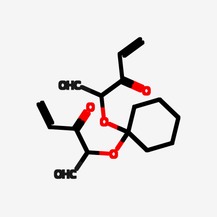 C=CC(=O)C(C=O)OC1(OC(C=O)C(=O)C=C)CCCCC1